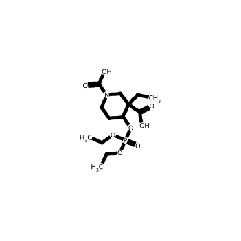 CCOP(=O)(OCC)OC1CCN(C(=O)O)CC1(CC)C(=O)O